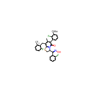 COc1cccc(-c2c(C)c(Cc3c(F)cccc3C(F)(F)F)c3n(c2=O)C(C(=NO)c2ccccc2F)CS3)c1F